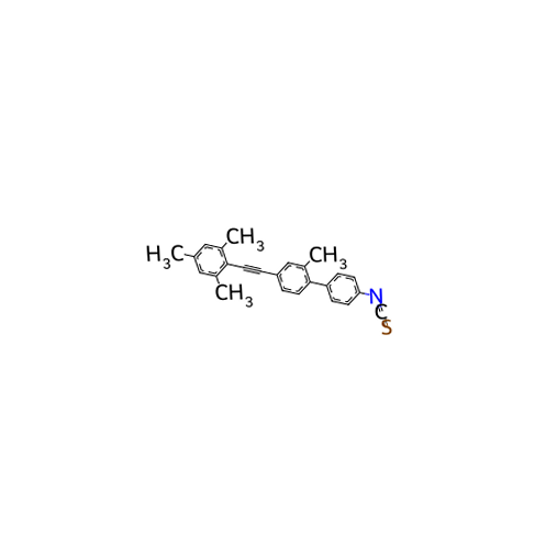 Cc1cc(C)c(C#Cc2ccc(-c3ccc(N=C=S)cc3)c(C)c2)c(C)c1